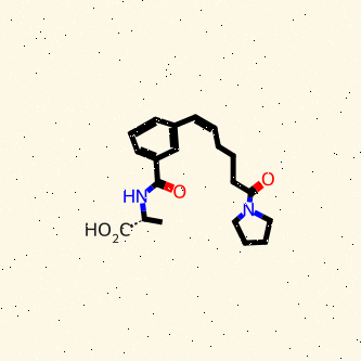 C[C@@H](NC(=O)c1cccc(/C=C\CCCC(=O)N2CCCC2)c1)C(=O)O